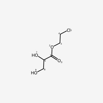 O=C(OCCCl)C(O)CO